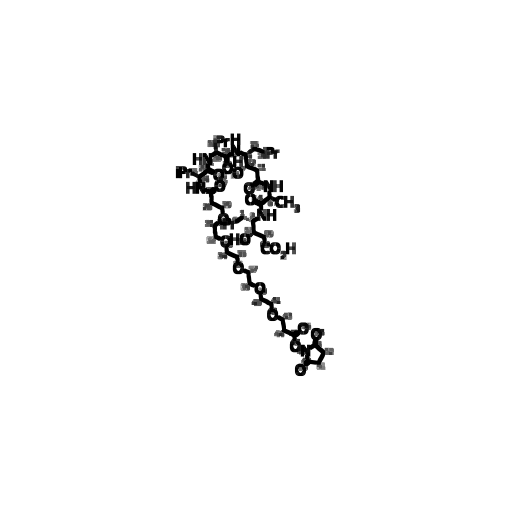 CC(C)C[C@H](NC(=O)[C@H](C)NC(=O)C[C@H](O)[C@H](CC(C)C)NC(=O)[C@@H](NC(=O)[C@@H](NC(=O)CCOCCOCCOCCOCCOCCC(=O)ON1C(=O)CCC1=O)C(C)C)C(C)C)[C@@H](O)CC(=O)O